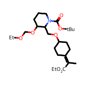 CCOCOC1CCCN(C(=O)OC(C)(C)C)C1COC1CCC(=C(C)C(=O)OCC)CC1